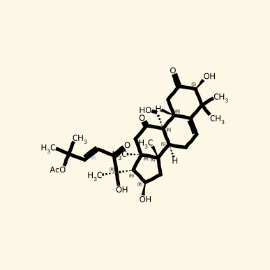 CC(=O)OC(C)(C)/C=C/C(=O)[C@](C)(O)[C@H]1[C@H](O)C[C@@]2(C)[C@@H]3CC=C4[C@@H](CC(=O)[C@@H](O)C4(C)C)[C@]3(CO)C(=O)C[C@]12C